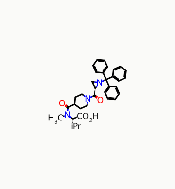 CC(C)[C@@H](C(=O)O)N(C)C(=O)C1CCN(C(=O)[C@H]2CN2C(c2ccccc2)(c2ccccc2)c2ccccc2)CC1